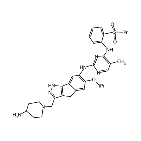 Cc1cnc(Nc2cc3c(cc2OC(C)C)Cc2c(CN4CCC(N)CC4)n[nH]c2-3)nc1Nc1ccccc1S(=O)(=O)C(C)C